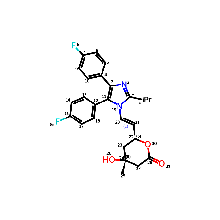 CC(C)c1nc(-c2ccc(F)cc2)c(-c2ccc(F)cc2)n1/C=C/[C@@H]1C[C@@](C)(O)CC(=O)O1